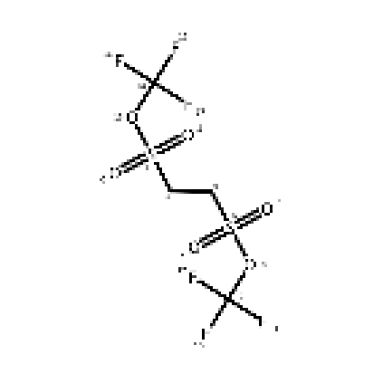 O=S(=O)(CCS(=O)(=O)OC(F)(F)F)OC(F)(F)F